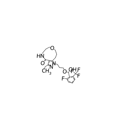 CCc1nn(CCCOC(O)c2c(F)cccc2C(F)(F)F)c2c1C(=O)NCCCOCCC2